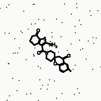 Cc1ccc2c(c1)C(=O)CC1(CCN(C(=O)c3c(N)sc4c3CCCC4=O)CC1)O2